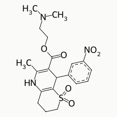 CC1=C(C(=O)OCCN(C)C)C(c2cccc([N+](=O)[O-])c2)C2=C(CCCS2(=O)=O)N1